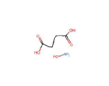 NO.O=C(O)CCC(=O)O